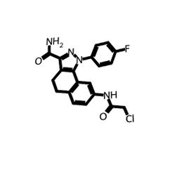 NC(=O)c1nn(-c2ccc(F)cc2)c2c1CCc1ccc(NC(=O)CCl)cc1-2